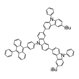 CCC(C)c1ccc2c(c1)c1cc(-c3ccc4c(c3)c3cc(-c5ccc6c(c5)c5cc(C(C)CC)ccc5n6-c5ccccc5)ccc3n4-c3ccc(-c4c5ccccc5c(-c5ccccc5)c5ccccc45)cc3)ccc1n2-c1ccccc1